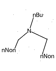 CCC[CH]N(CCCCCCCCCC)CCCCCCCCCC